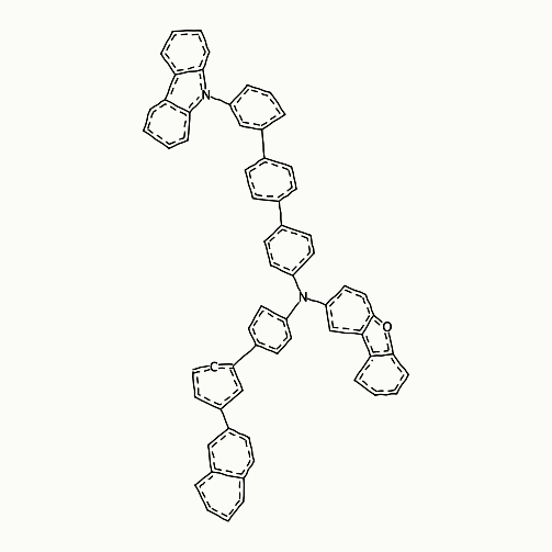 c1cc(-c2ccc(N(c3ccc(-c4ccc(-c5cccc(-n6c7ccccc7c7ccccc76)c5)cc4)cc3)c3ccc4oc5ccccc5c4c3)cc2)cc(-c2ccc3ccccc3c2)c1